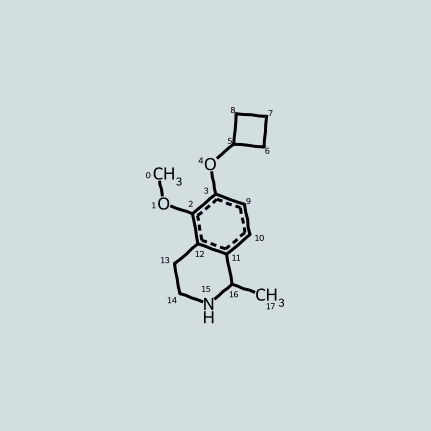 COc1c(OC2CCC2)ccc2c1CCNC2C